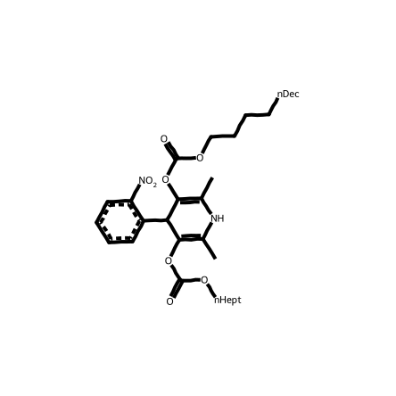 CCCCCCCCCCCCCCOC(=O)OC1=C(C)NC(C)=C(OC(=O)OCCCCCCC)C1c1ccccc1[N+](=O)[O-]